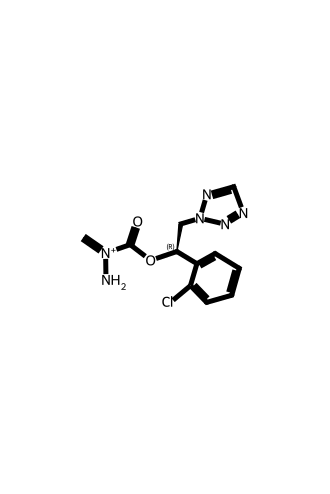 C=[N+](N)C(=O)O[C@@H](Cn1ncnn1)c1ccccc1Cl